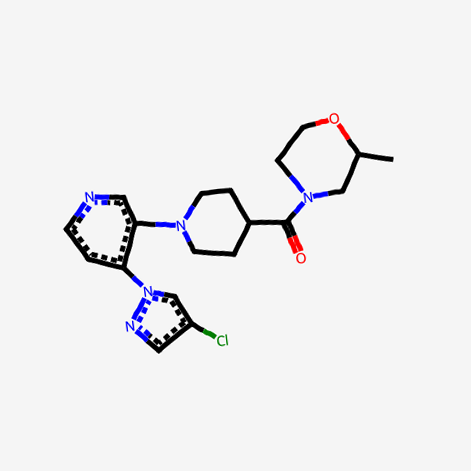 CC1CN(C(=O)C2CCN(c3cnccc3-n3cc(Cl)cn3)CC2)CCO1